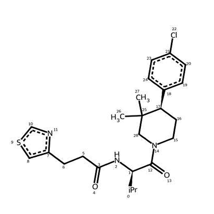 CC(C)[C@@H](NC(=O)CCc1cscn1)C(=O)N1CC[C@H](c2ccc(Cl)cc2)C(C)(C)C1